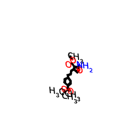 CCOC(=O)c1c(CCCc2ccc(C(=O)OC(C)(C)C)cc2)coc1N